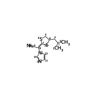 CC(C)CC1CSC(=C(C#N)n2ccnc2)S1